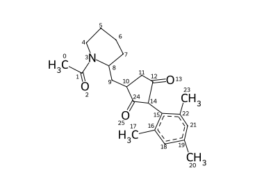 CC(=O)N1CCCCC1CC1CC(=O)C(c2c(C)cc(C)cc2C)C1=O